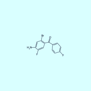 Nc1cc(Br)c(C(=O)c2ccc(F)cc2)cc1F